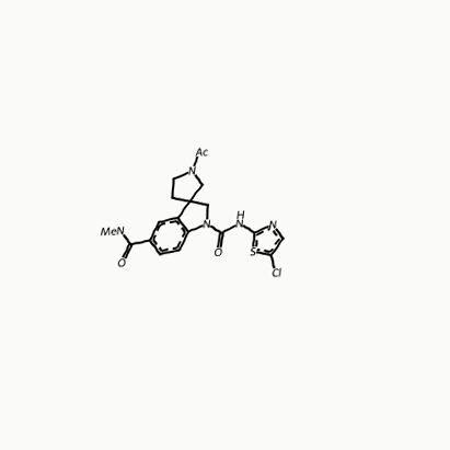 CNC(=O)c1ccc2c(c1)C1(CCN(C(C)=O)C1)CN2C(=O)Nc1ncc(Cl)s1